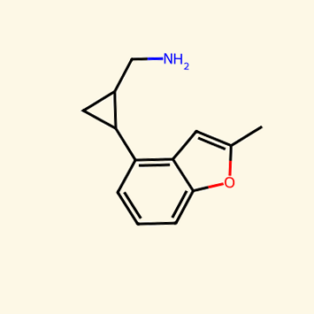 Cc1cc2c(C3CC3CN)cccc2o1